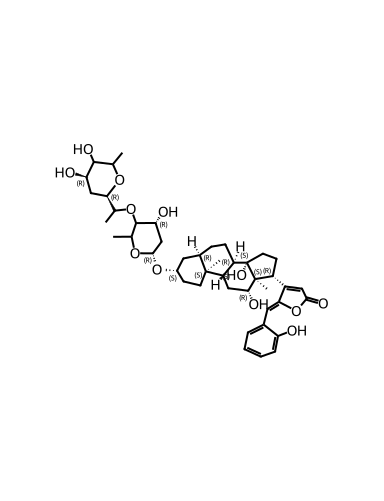 CC1O[C@@H](C(C)OC2C(C)O[C@@H](O[C@H]3CC[C@@]4(C)[C@H](CC[C@@H]5[C@@H]4C[C@@H](O)[C@]4(C)[C@@H](C6=CC(=O)OC6=Cc6ccccc6O)CC[C@]54O)C3)C[C@H]2O)C[C@@H](O)C1O